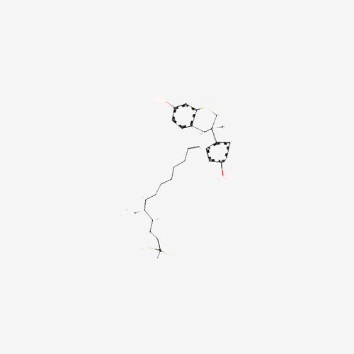 C[C@]1(c2ccc(O)cc2)CSc2cc(O)ccc2[C@H]1CCCCCCCC[C@@H](CCCC(F)(F)C(F)(F)F)C(=O)O